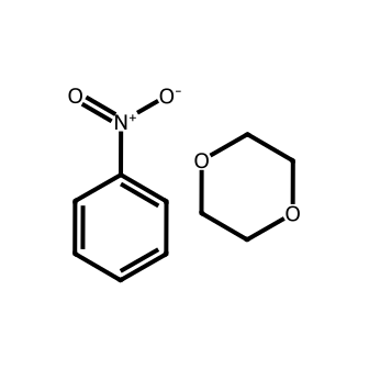 C1COCCO1.O=[N+]([O-])c1ccccc1